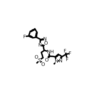 Cn1nc(C(F)(F)F)cc1C(=O)NC(CCS(C)(=O)=O)c1nc(-c2cccc(F)c2)no1